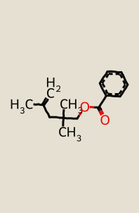 C=C(C)CC(C)(C)COC(=O)c1ccccc1